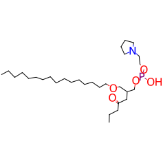 CCCCCCCCCCCCCCCCOCC(COP(O)OCCN1CCCC1)CC(=O)CCC